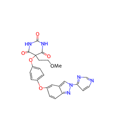 COCCC1(Oc2ccc(Oc3ccc4nn(-c5ccncn5)cc4c3)cc2)C(=O)NC(=O)NC1=O